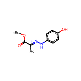 CC(=O)/C(=N\Nc1ccc(O)cc1)C(=O)OC(C)(C)C